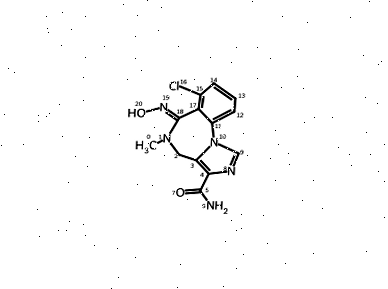 CN1Cc2c(C(N)=O)ncn2-c2cccc(Cl)c2C1=NO